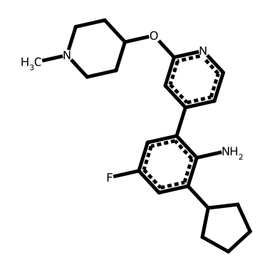 CN1CCC(Oc2cc(-c3cc(F)cc(C4CCCC4)c3N)ccn2)CC1